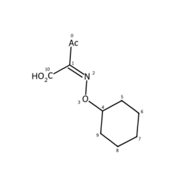 CC(=O)/C(=N/OC1CCCCC1)C(=O)O